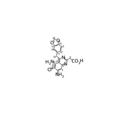 Nc1cc2nc(CC(=O)O)nc(Cc3ccc4c(c3)OCO4)c2c(N)c1Cl